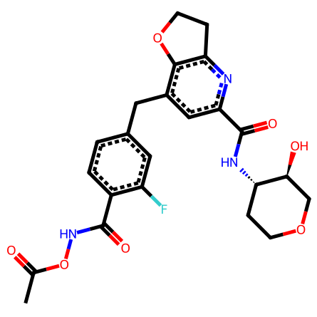 CC(=O)ONC(=O)c1ccc(Cc2cc(C(=O)N[C@H]3CCOC[C@@H]3O)nc3c2OCC3)cc1F